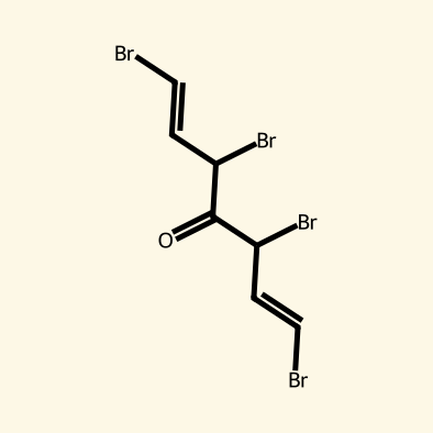 O=C(C(Br)C=CBr)C(Br)C=CBr